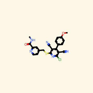 CNC(=O)c1cc(CSc2nc(Cl)c(C#N)c(-c3ccc(OC)cc3)c2C#N)ccn1